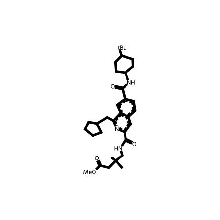 COC(=O)CC(C)(C)CNC(=O)c1cc2ccc(C(=O)NC3CCC(C(C)(C)C)CC3)cc2c(CC2CCCC2)n1